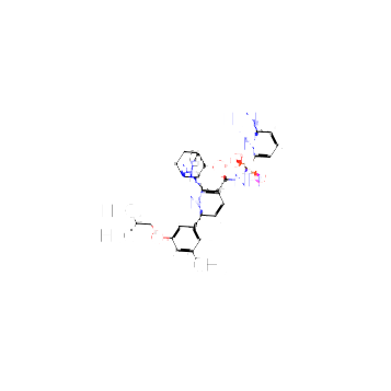 Cc1cc(OCC(C)C)cc(-c2ccc(C(=O)NS(=O)(=O)c3cccc(N)n3)c(N3CC4CCC3CC4)n2)c1